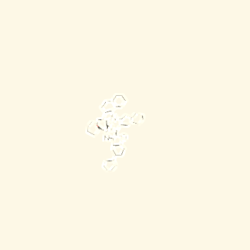 c1ccc(-c2ccc3oc4c(-c5cc6ccccc6cc5-n5c6ccccc6c6ccc7ccccc7c65)nc(-c5ccccc5)nc4c3c2)cc1